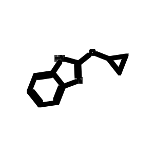 c1ccc2[nH]c(OC3CC3)nc2c1